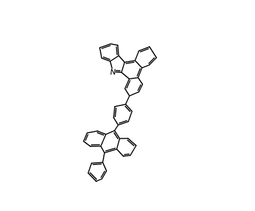 C1=CC(c2ccc(-c3c4ccccc4c(-c4ccccc4)c4ccccc34)cc2)C=c2c1c1ccccc1c1c2=Nc2ccccc2-1